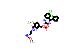 CC(=O)Oc1ccc(COC(=O)OC2N=C(c3ccccc3Cl)c3cc(Cl)ccc3NC2=O)cc1C(=O)NCCNC(=O)OC(C)(C)C